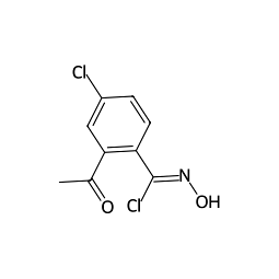 CC(=O)c1cc(Cl)ccc1C(Cl)=NO